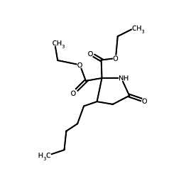 CCCCCC1CC(=O)NC1(C(=O)OCC)C(=O)OCC